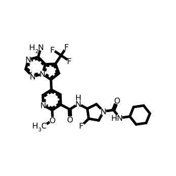 COc1ncc(-c2cc(C(F)(F)F)c3c(N)ncnn23)cc1C(=O)NC1CN(C(=O)NC2CCCCC2)CC1F